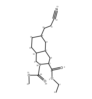 CCOC(=O)C1CC2CC(CCC#N)CCC2CN1C(=O)OC